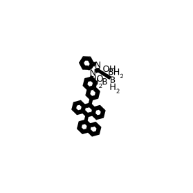 BC(B)(B)C(O)(O)c1nc2ccccc2n1-c1ccc2cc(-c3c4ccccc4c(-c4cccc5ccccc45)c4ccccc34)ccc2c1